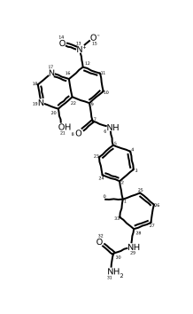 CC1(c2ccc(NC(=O)c3ccc([N+](=O)[O-])c4ncnc(O)c34)cc2)C=CC=C(NC(N)=O)C1